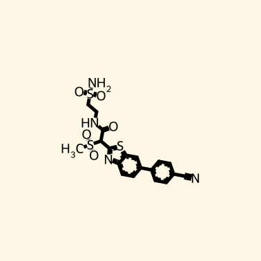 CS(=O)(=O)C(C(=O)NCCS(N)(=O)=O)c1nc2ccc(-c3ccc(C#N)cc3)cc2s1